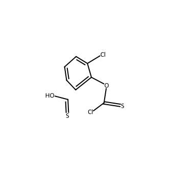 OC=S.S=C(Cl)Oc1ccccc1Cl